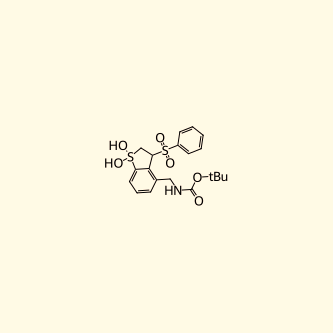 CC(C)(C)OC(=O)NCc1cccc2c1C(S(=O)(=O)c1ccccc1)CS2(O)O